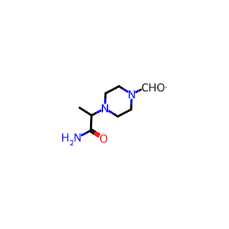 CC(C(N)=O)N1CCN([C]=O)CC1